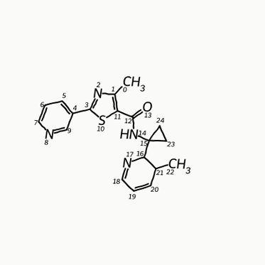 Cc1nc(-c2cccnc2)sc1C(=O)NC1(C2N=CC=CC2C)CC1